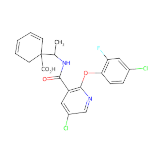 CC(NC(=O)c1cc(Cl)cnc1Oc1ccc(Cl)cc1F)C1(C(=O)O)C=CC=CC1